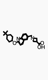 CC(C)(C)C1CCC(Oc2ccc3cc(CN4CC(C(=O)O)C4)ccc3n2)CC1